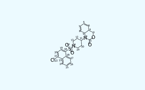 O=C1OCC2C=CC=CC2N1C1CCN(S(=O)(=O)c2ccc(Cl)c3ccccc23)CC1